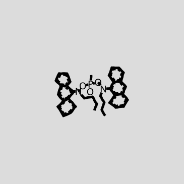 CCCCN(OP(C)(=O)ON(CCCC)c1c2ccccc2cc2ccccc12)c1c2ccccc2cc2ccccc12